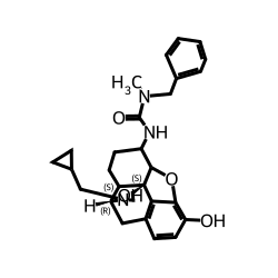 CN(Cc1ccccc1)C(=O)NC1CC[C@@]2(O)[C@H]3Cc4ccc(O)c5c4[C@@]2(CCN3CC2CC2)C1O5